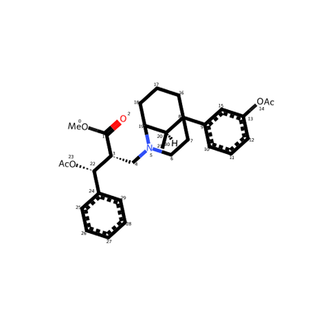 COC(=O)[C@H](CN1CCC2(c3cccc(OC(C)=O)c3)CCCC1[C@@H]2C)[C@@H](OC(C)=O)c1ccccc1